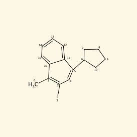 Cc1c(I)cc(C2CCCC2)c2ccccc12